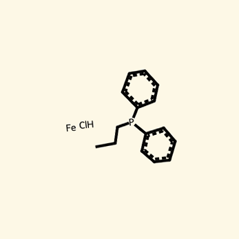 CCCP(c1ccccc1)c1ccccc1.Cl.[Fe]